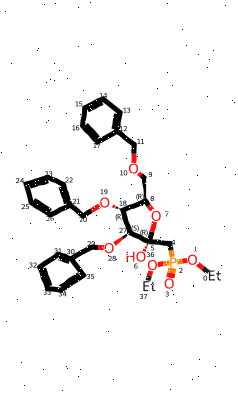 CCOP(=O)(C[C@]1(O)O[C@H](COCc2ccccc2)[C@@H](OCc2ccccc2)[C@@H]1OCc1ccccc1)OCC